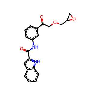 O=C(COCC1CO1)c1cccc(NC(=O)c2cc3ccccc3[nH]2)c1